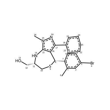 Cc1cc(Br)ccc1[C@@H]1SC[C@H](CO)Nc2c1c(-c1ccccn1)nn2C